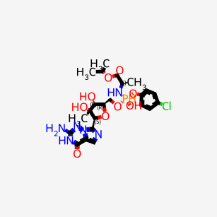 CC(C)OC(=O)[C@H](C)N[PH](O)(OC[C@H]1O[C@@H](c2ncc3c(=O)[nH]c(N)nn23)[C@](C)(O)[C@@H]1O)Oc1ccc(Cl)cc1